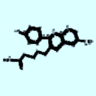 CC(C)COC(=O)CCCCc1cc2cc(C(=O)O)cnc2nc1-c1ccc(F)cc1